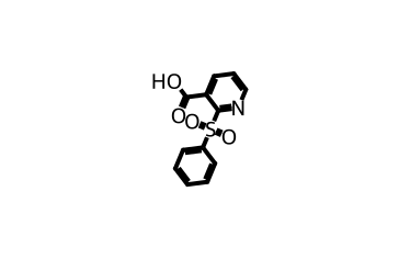 O=C(O)c1cccnc1S(=O)(=O)c1ccccc1